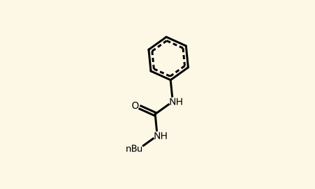 [CH2]CCCNC(=O)Nc1ccccc1